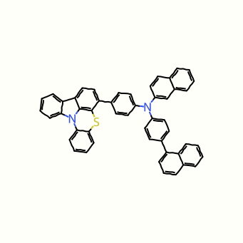 c1ccc2c(c1)Sc1c(-c3ccc(N(c4ccc(-c5cccc6ccccc56)cc4)c4ccc5ccccc5c4)cc3)ccc3c4ccccc4n-2c13